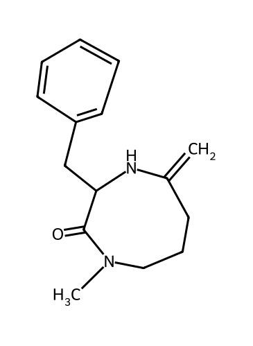 C=C1CCCN(C)C(=O)C(Cc2ccccc2)N1